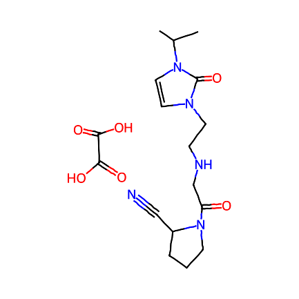 CC(C)n1ccn(CCNCC(=O)N2CCCC2C#N)c1=O.O=C(O)C(=O)O